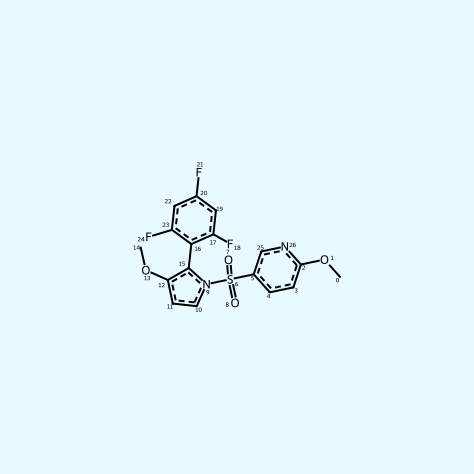 COc1ccc(S(=O)(=O)n2ccc(OC)c2-c2c(F)cc(F)cc2F)cn1